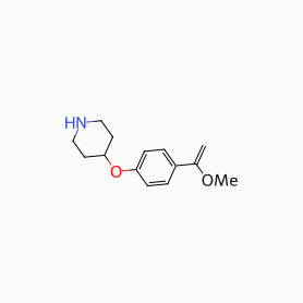 C=C(OC)c1ccc(OC2CCNCC2)cc1